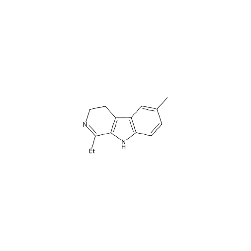 CCC1=NCCc2c1[nH]c1ccc(C)cc21